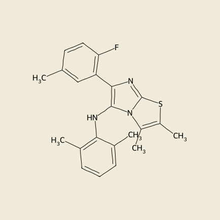 Cc1ccc(F)c(-c2nc3sc(C)c(C)n3c2Nc2c(C)cccc2C)c1